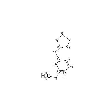 CCc1cc(CC2CCCC2)ccn1